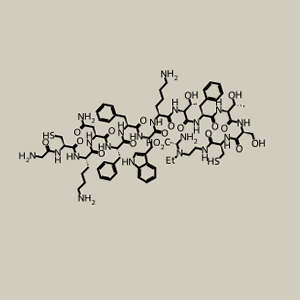 CCN(CCNC(=O)[C@H](CS)NC(=O)[C@H](CO)NC(=O)[C@@H](NC(=O)[C@H](Cc1ccccc1)NC(=O)[C@@H](NC(=O)[C@H](CCCCN)NC(=O)[C@@H](Cc1c[nH]c2ccccc12)NC(=O)[C@H](Cc1ccccc1)NC(=O)[C@H](Cc1ccccc1)NC(=O)[C@H](CC(N)=O)NC(=O)[C@H](CCCCN)NC(=O)[C@H](CS)NC(=O)CN)[C@@H](C)O)[C@@H](C)O)[C@@H](N)C(=O)O